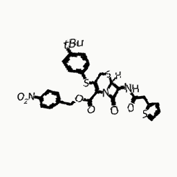 CC(C)(C)c1ccc(SC2=C(C(=O)OCc3ccc([N+](=O)[O-])cc3)N3C(=O)C(NC(=O)Cc4cccs4)[C@H]3SC2)cc1